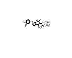 COC(=O)[C@@H](OC(C)(C)C)c1c(C)nc2c(ccn2Cc2ccc(F)c(F)c2)c1I